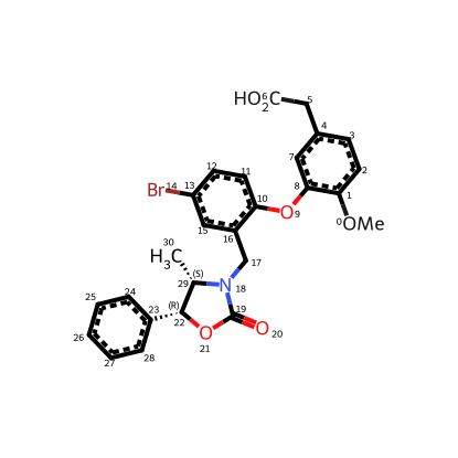 COc1ccc(CC(=O)O)cc1Oc1ccc(Br)cc1CN1C(=O)O[C@H](c2ccccc2)[C@@H]1C